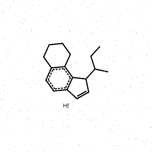 CCC(C)C1C=Cc2ccc3c(c21)CCCC3.[Hf]